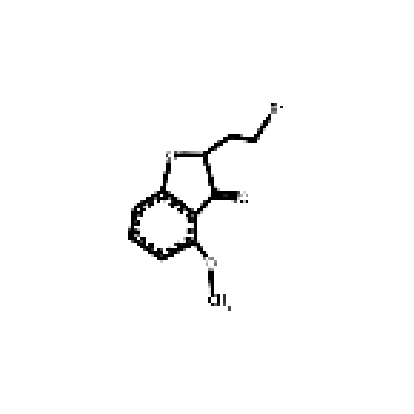 COc1cccc2c1C(=O)C(CCBr)O2